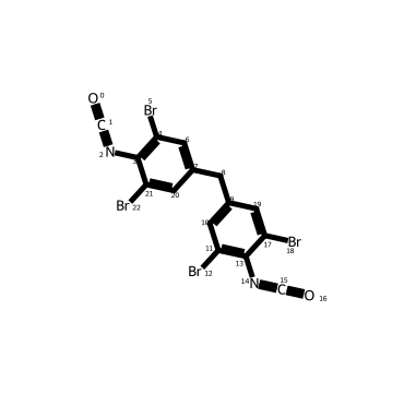 O=C=Nc1c(Br)cc(Cc2cc(Br)c(N=C=O)c(Br)c2)cc1Br